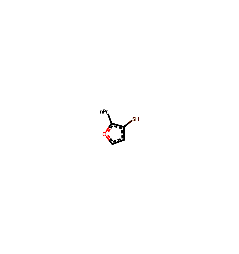 CCCc1occc1S